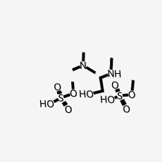 CN(C)C.CNCCO.COS(=O)(=O)O.COS(=O)(=O)O